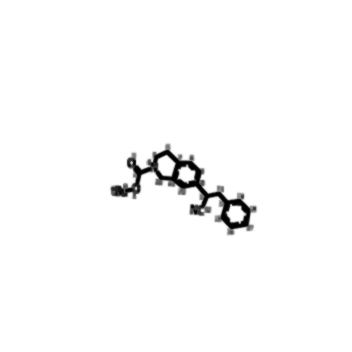 CC(C)(C)OC(=O)N1CCc2ccc(C(C#N)Cc3ccccc3)cc2C1